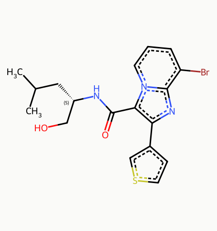 CC(C)C[C@@H](CO)NC(=O)c1c(-c2ccsc2)nc2c(Br)cccn12